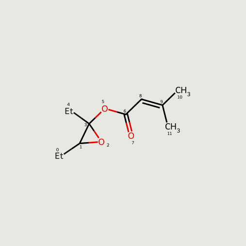 CCC1OC1(CC)OC(=O)C=C(C)C